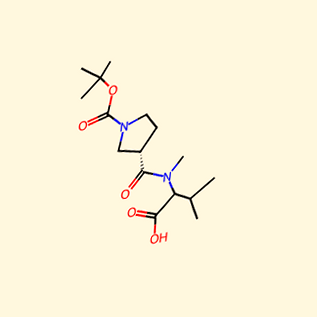 CC(C)C(C(=O)O)N(C)C(=O)[C@H]1CCN(C(=O)OC(C)(C)C)C1